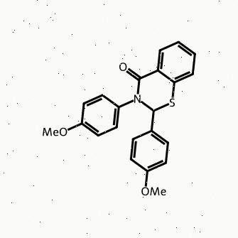 COc1ccc(C2Sc3ccccc3C(=O)N2c2ccc(OC)cc2)cc1